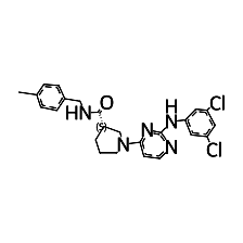 Cc1ccc(CNC(=O)[C@H]2CCCN(c3ccnc(Nc4cc(Cl)cc(Cl)c4)n3)C2)cc1